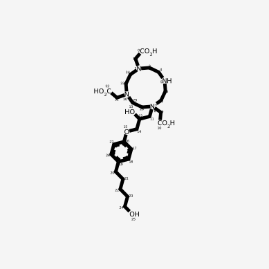 O=C(O)CN1CCNCC[N+](CC(=O)O)(CC(O)COc2ccc(CCCCCO)cc2)CCN(CC(=O)O)CC1